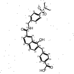 CN(C)S(=O)(=O)c1ccc(CNC(=O)c2ccc3ccc(Cc4ccc(C(=O)O)cc4)c(O)c3c2)cc1